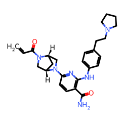 C=CC(=O)N1C[C@@H]2C[C@H]1CN2c1ccc(C(N)=O)c(Nc2ccc(CCN3CCCC3)cc2)n1